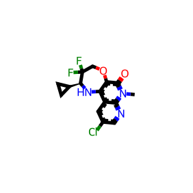 Cn1c(=O)c2c(c3cc(Cl)cnc31)N[C@@H](C1CC1)C(F)(F)CO2